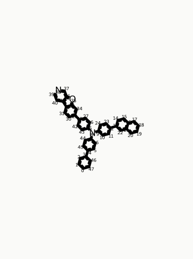 c1ccc(-c2ccc(N(c3ccc(-c4ccc5ccccc5c4)cc3)c3ccc(-c4ccc5c(c4)oc4cnccc45)cc3)cc2)cc1